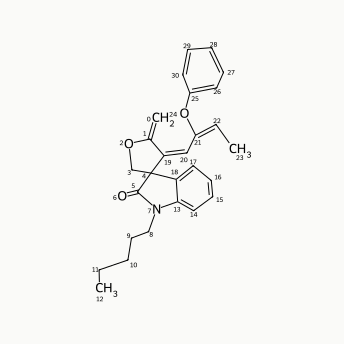 C=C1OCC2(C(=O)N(CCCCC)c3ccccc32)/C1=C/C(=C\C)Oc1ccccc1